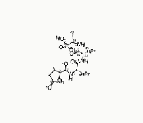 CCC[C@H](NC(=O)[C@@H]1CCC(=O)N1)C(=O)N[C@@H](CCC)C(=O)N[C@@H](C)P(=O)(O)O